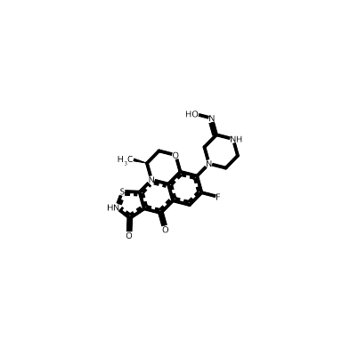 C[C@H]1COc2c(N3CCN/C(=N/O)C3)c(F)cc3c(=O)c4c(=O)[nH]sc4n1c23